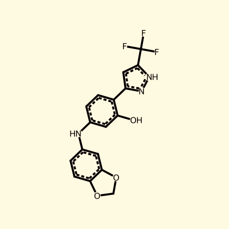 Oc1cc(Nc2ccc3c(c2)OCO3)ccc1-c1cc(C(F)(F)F)[nH]n1